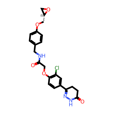 O=C(COc1ccc(C2=NNC(=O)CC2)cc1Cl)NCc1ccc(OC[C@@H]2CO2)cc1